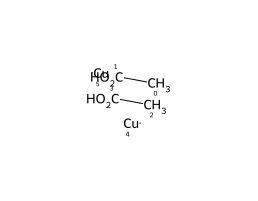 CC(=O)O.CC(=O)O.[Cu].[Cu]